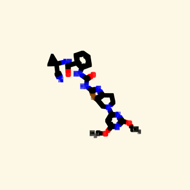 COc1cc(N2CCc3nc(NC(=O)Nc4ccccc4C(=O)NC4(C#N)CC4)sc3C2)nc(OC)n1